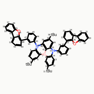 CC(C)(C)c1ccc2c(c1)B1c3cc(C(C)(C)C)ccc3N(c3cccc(-c4cccc5c4oc4ccccc45)c3)c3cc(C(C)(C)C)cc(c31)N2c1cccc(-c2cccc3c2oc2ccccc23)c1